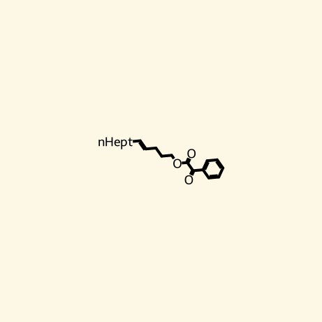 CCCCCCC/C=C/CCCOC(=O)C(=O)c1ccccc1